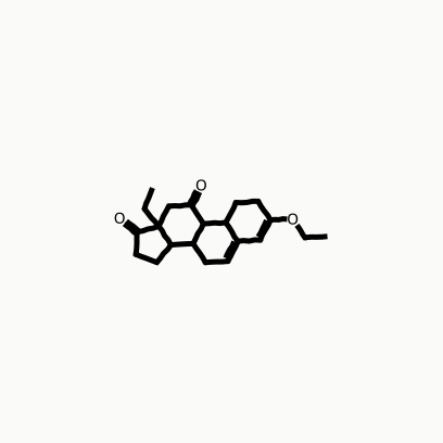 CCOC1=CC2=CCC3C(C(=O)CC4(CC)C(=O)CCC34)C2CC1